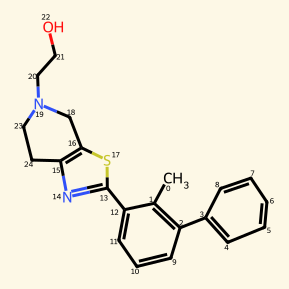 Cc1c(-c2ccccc2)cccc1-c1nc2c(s1)CN(CCO)CC2